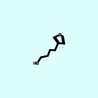 OCCCCc1ccoc1